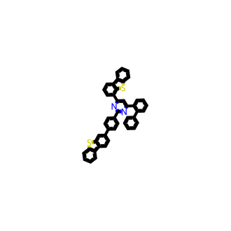 c1ccc(-c2ccccc2-c2cc(-c3cccc4c3sc3ccccc34)nc(-c3ccc(-c4ccc5c(c4)sc4ccccc45)cc3)n2)cc1